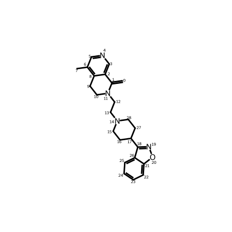 C=C1c2cncc(C)c2CCN1CCN1CCC(c2noc3ccccc23)CC1